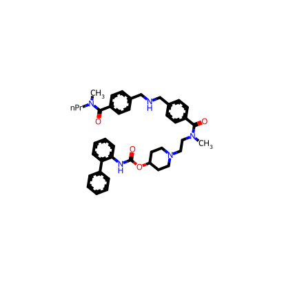 CCCN(C)C(=O)c1ccc(CNCc2ccc(C(=O)N(C)CCN3CCC(OC(=O)Nc4ccccc4-c4ccccc4)CC3)cc2)cc1